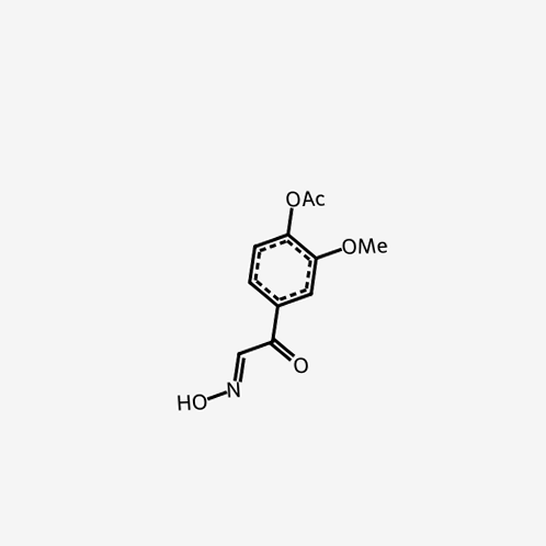 COc1cc(C(=O)C=NO)ccc1OC(C)=O